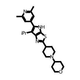 Cc1cc(-c2[nH]c3sc(C4CCN(C5CCOCC5)CC4)nc3c2C(C)C)cc(C)n1